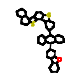 c1ccc2c(c1)ccc1sc3c(ccc4sc5ccc(-c6c7ccccc7c(-c7ccc8c(c7)oc7ccccc78)c7ccccc67)cc5c43)c12